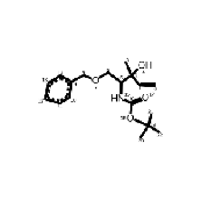 C=CC(C)(O)C(COCc1ccccc1)NC(=O)OC(C)(C)C